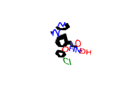 CN(c1cccnc1)c1ccc(Oc2cccc(Cl)c2)c(/C=C/C(=O)NO)c1